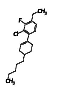 CCCCCC1CC=C(c2ccc(CC)c(F)c2Cl)CC1